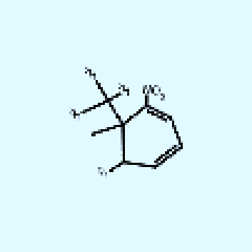 [2H]C([2H])([2H])C1(C)C([N+](=O)[O-])=CC=CC1Br